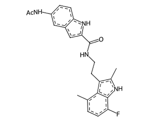 CC(=O)Nc1ccc2[nH]c(C(=O)NCCc3c(C)[nH]c4c(F)ccc(C)c34)cc2c1